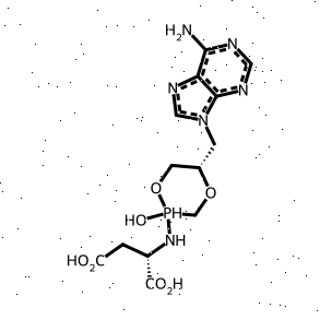 Nc1ncnc2c1ncn2C[C@H]1CO[PH](O)(N[C@@H](CC(=O)O)C(=O)O)CO1